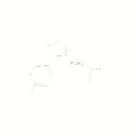 CCN(/C=C/c1nnnn1-c1ccc(C)cc1)CC